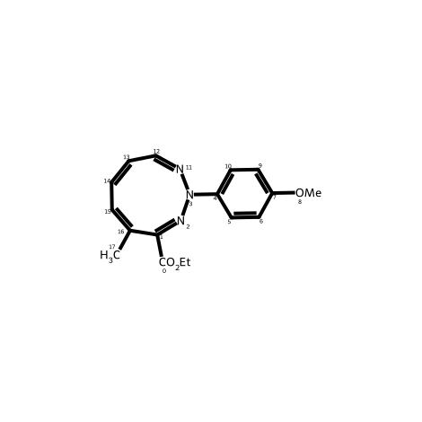 CCOC(=O)c1nn(-c2ccc(OC)cc2)nccccc1C